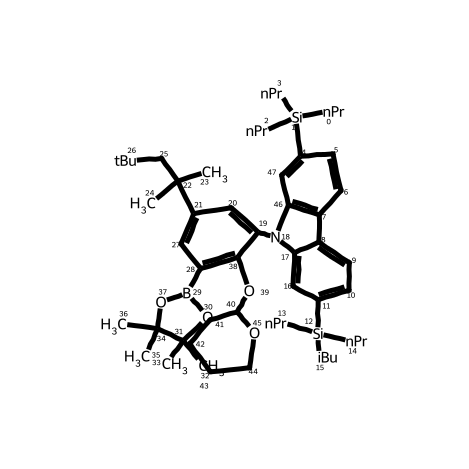 CCC[Si](CCC)(CCC)c1ccc2c3ccc([Si](CCC)(CCC)C(C)CC)cc3n(-c3cc(C(C)(C)CC(C)(C)C)cc(B4OC(C)(C)C(C)(C)O4)c3OC3CCCCO3)c2c1